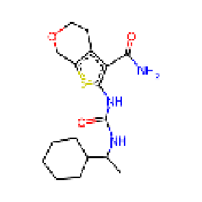 CC(NC(=O)Nc1sc2c(c1C(N)=O)CCOC2)C1CCCCC1